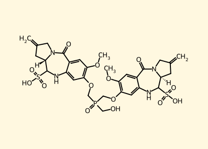 C=C1C[C@H]2C(S(=O)(=O)O)Nc3cc(OCP(=O)(CO)COc4cc5c(cc4OC)C(=O)N4CC(=C)C[C@H]4C(S(=O)(=O)O)N5)c(OC)cc3C(=O)N2C1